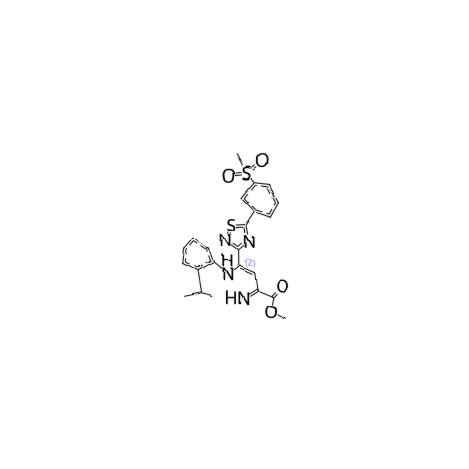 COC(=O)C(=N)/C=C(\Nc1ccccc1C(C)C)c1nsc(-c2cccc(S(C)(=O)=O)c2)n1